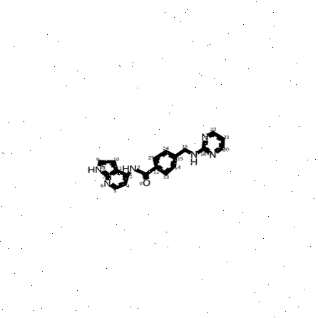 O=C(Nc1ccnc2[nH]ccc12)c1ccc(CNc2ncccn2)cc1